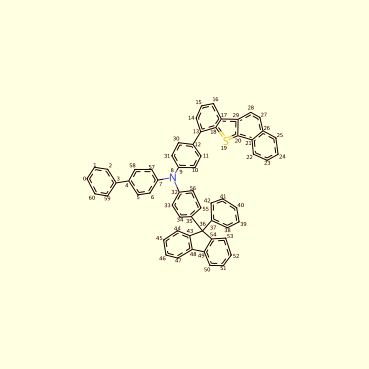 c1ccc(-c2ccc(N(c3ccc(-c4cccc5c4sc4c6ccccc6ccc54)cc3)c3ccc(C4(c5ccccc5)c5ccccc5-c5ccccc54)cc3)cc2)cc1